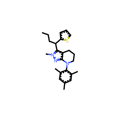 CCCC(c1cccs1)c1c2c(nn1C)N(c1c(C)cc(C)cc1C)CCC2